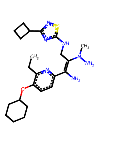 CCc1nc(/C(N)=C(\CNc2nc(C3CCC3)ns2)N(C)N)ccc1OC1CCCCC1